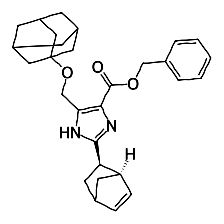 O=C(OCc1ccccc1)c1nc([C@@H]2CC3C=C[C@H]2C3)[nH]c1COC12CC3CC(CC(C3)C1)C2